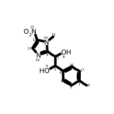 Cc1ccc(C(O)C(O)c2ncc([N+](=O)[O-])n2C)cc1